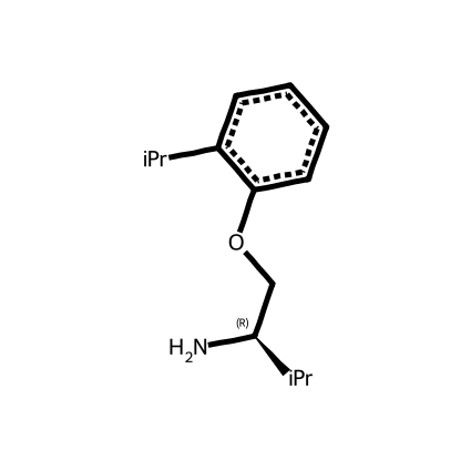 CC(C)c1ccccc1OC[C@H](N)C(C)C